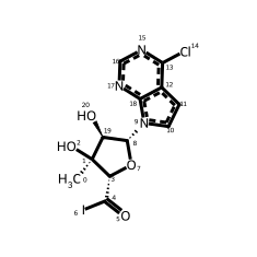 C[C@@]1(O)[C@@H](C(=O)I)O[C@@H](n2ccc3c(Cl)ncnc32)[C@@H]1O